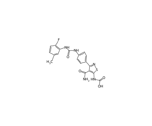 Cc1ccc(F)c(NC(=O)Nc2ccc(-c3nsc(NC(=O)O)c3C(N)=O)cc2)c1